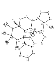 CC1[C@@H]2CCC3C4CCC[C@@]4(C)CCC3[C@@]2(C)C(N2CCCCC2)(N2CCNCC2)C(O)C1(O)O